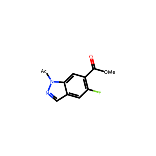 COC(=O)c1cc2c(cnn2C(C)=O)cc1F